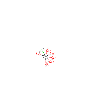 [OH][Co]([OH])([OH])([OH])([OH])([OH])[Cl]